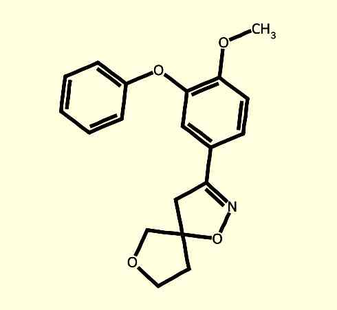 COc1ccc(C2=NOC3(CCOC3)C2)cc1Oc1ccccc1